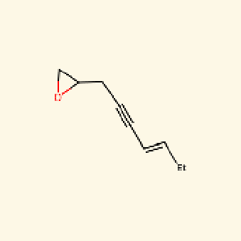 CCC=CC#CCC1CO1